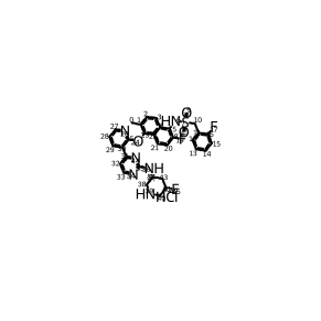 Cc1ccc2c(NS(=O)(=O)Cc3ccccc3F)c(F)ccc2c1Oc1ncccc1-c1ccnc(N[C@H]2CNC[C@H](F)C2)n1.Cl